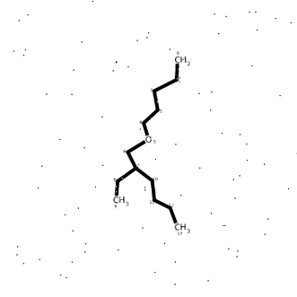 [CH2]CCCCOCC(CC)CCCC